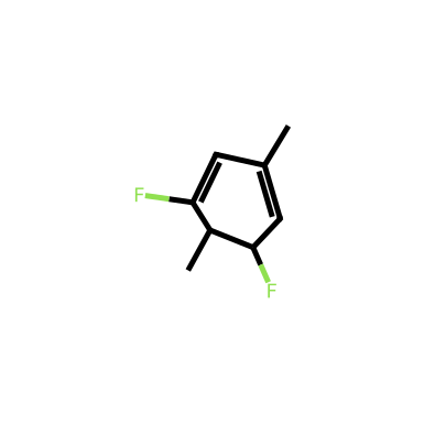 CC1=CC(F)C(C)C(F)=C1